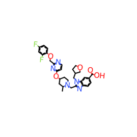 CC1CC(Oc2ccnc(COc3ccc(F)cc3F)n2)CCN1Cc1nc2ccc(C(=O)O)cc2n1CC1CCOC1